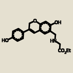 CCOC(=O)CNCc1cc2c(cc1O)OCC(c1ccc(O)cc1)=C2